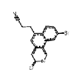 N#CCCc1cc2c(c3cc(Br)ccc13)=C[N]C(=O)C=2